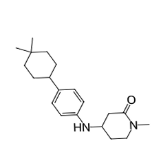 CN1CCC(Nc2ccc(C3CCC(C)(C)CC3)cc2)CC1=O